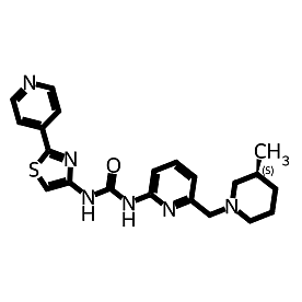 C[C@H]1CCCN(Cc2cccc(NC(=O)Nc3csc(-c4ccncc4)n3)n2)C1